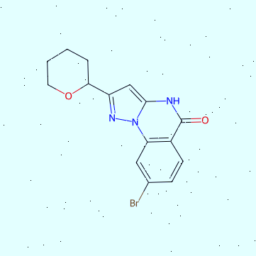 O=c1[nH]c2cc(C3CCCCO3)nn2c2cc(Br)ccc12